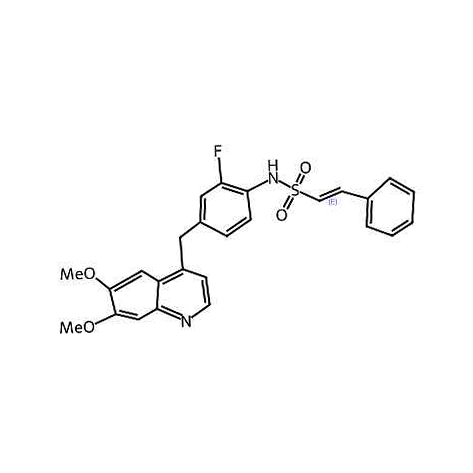 COc1cc2nccc(Cc3ccc(NS(=O)(=O)/C=C/c4ccccc4)c(F)c3)c2cc1OC